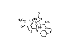 COC(=O)c1csc(S(=O)(=O)N[C@H](c2n[nH]c(=O)o2)[C@H](C)c2cccc3c2CCCC3)c1OC